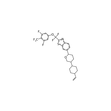 C=CC1CCC(C2CCC(c3ccc4nc(C(F)(F)Oc5cc(F)c(C(F)(F)F)c(F)c5)sc4c3)OC2)CC1